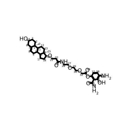 C[C@@]12CC[C@@H](O)CC1=CCC1C2CC[C@]2(C)C1CC[C@H]2OCCC(=O)NCCOCCOCC(=O)Oc1ccc(N)c(O)c1C(N)=O